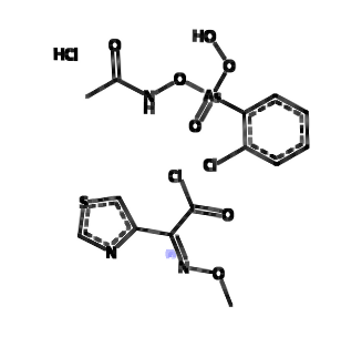 CC(=O)NO[As](=O)(OO)c1ccccc1Cl.CO/N=C(\C(=O)Cl)c1cscn1.Cl